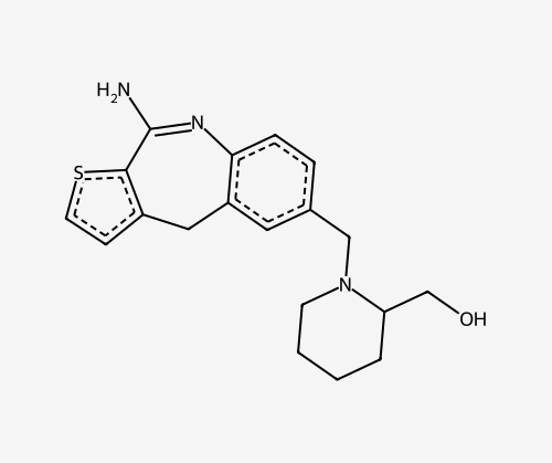 NC1=Nc2ccc(CN3CCCCC3CO)cc2Cc2ccsc21